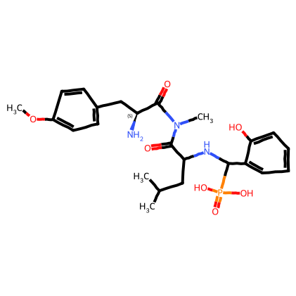 COc1ccc(C[C@H](N)C(=O)N(C)C(=O)C(CC(C)C)NC(c2ccccc2O)P(=O)(O)O)cc1